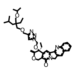 C=C1OCc2c(cc3n(c2=O)Cc2cc4ccccc4nc2-3)[C@]1(CC)OCn1cc(COCC(CC)(COC(C)C)CC(C)C)nn1